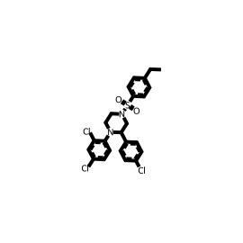 CCc1ccc(S(=O)(=O)N2CCN(c3ccc(Cl)cc3Cl)C(c3ccc(Cl)cc3)C2)cc1